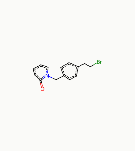 O=c1ccccn1Cc1ccc(CCBr)cc1